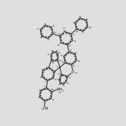 N#Cc1ccc(-c2ccc3c(c2)C2(c4ccccc4Oc4ccc(-c5cc(-c6ccccc6)nc(-c6ccccc6)n5)cc42)c2ccccc2-3)c(N)c1